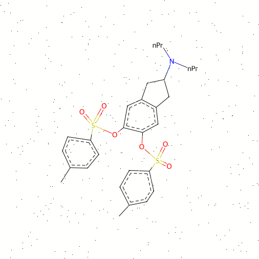 CCCN(CCC)C1Cc2cc(OS(=O)(=O)c3ccc(C)cc3)c(OS(=O)(=O)c3ccc(C)cc3)cc2C1